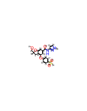 COCC1(C)Cc2c(Oc3ccc(S(C)(=O)=O)cc3)cc(C(=O)Nc3ccn(C)n3)cc2O1